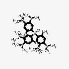 Cc1cc(N(C)C)c(N(C)C)cc1[Si](Cl)(c1cc(N(C)C)c(N(C)C)cc1C)c1cc(N(C)C)c(N(C)C)cc1C